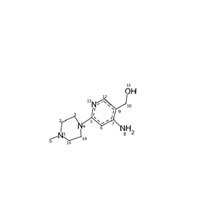 CN1CCN(c2cc(N)c(CO)cn2)CC1